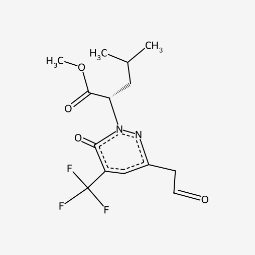 COC(=O)[C@H](CC(C)C)n1nc(CC=O)cc(C(F)(F)F)c1=O